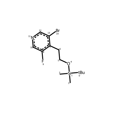 CC(C)(C)[Si](C)(C)O[CH][CH]c1c(F)cncc1Br